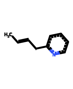 CC=C[CH]c1ccccn1